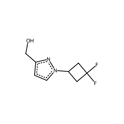 OCc1ccn(C2CC(F)(F)C2)n1